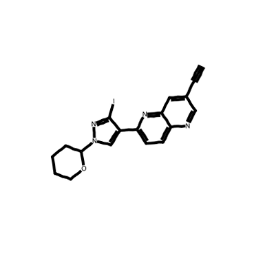 C#Cc1cnc2ccc(-c3cn(C4CCCCO4)nc3I)nc2c1